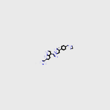 CCn1cnc(-c2ccc3c(-c4cnc5cc(-c6ccc(CN7CCC7)cc6)c(C)nn45)ccnc3n2)c1